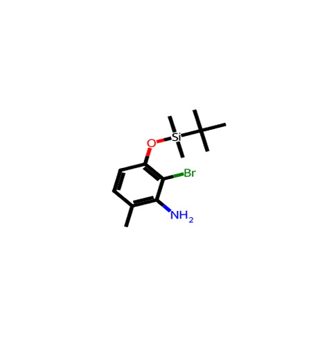 Cc1ccc(O[Si](C)(C)C(C)(C)C)c(Br)c1N